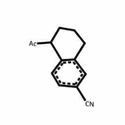 CC(=O)C1CCCc2cc(C#N)ccc21